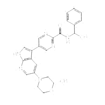 CC(NC(=O)c1ncc(-c2c[nH]c3ncc(N4CCO[C@@H](C)C4)cc23)cn1)c1ccccc1